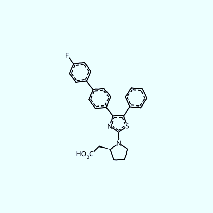 O=C(O)C[C@@H]1CCCN1c1nc(-c2ccc(-c3ccc(F)cc3)cc2)c(-c2ccccc2)s1